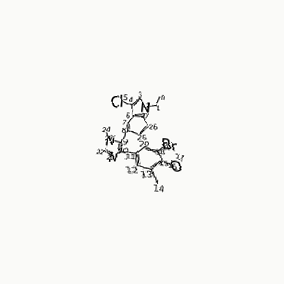 CCn1cc(Cl)c2cc(-c3c(-c4cc(C)c(OC)c(Br)c4)ncn3C)ccc21